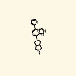 CN1CC2CN(c3ncc(-c4cccs4)n4cnnc34)CC2C1